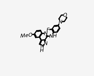 COc1ccc2nc(Nc3ccc(N4CCOCC4)cc3F)c3n[nH]cc3c2c1